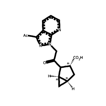 CC(=O)c1nn(CC(=O)C2[C@H](C(=O)O)C[C@H]3C[C@@H]23)c2ncccc12